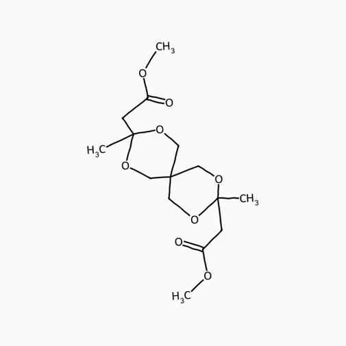 COC(=O)CC1(C)OCC2(CO1)COC(C)(CC(=O)OC)OC2